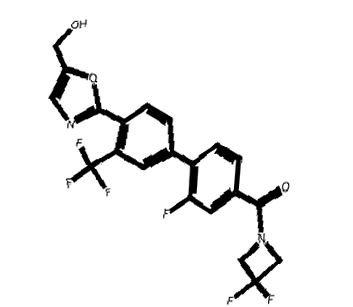 O=C(c1ccc(-c2ccc(-c3ncc(CO)o3)c(C(F)(F)F)c2)c(F)c1)N1CC(F)(F)C1